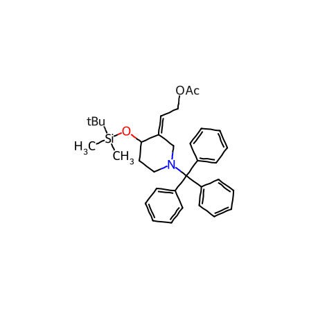 CC(=O)OCC=C1CN(C(c2ccccc2)(c2ccccc2)c2ccccc2)CCC1O[Si](C)(C)C(C)(C)C